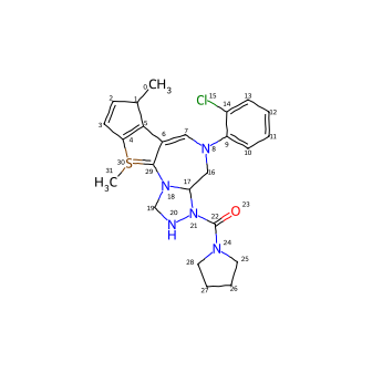 CC1C=CC2=C1C1=CN(c3ccccc3Cl)CC3N(CNN3C(=O)N3CCCC3)C1=S2C